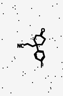 N#CCCC1(c2ccc(F)cc2)CCC(=O)CC1